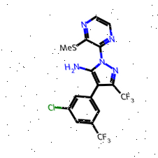 CSc1nccnc1-n1nc(C(F)(F)F)c(-c2cc(Cl)cc(C(F)(F)F)c2)c1N